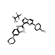 NC1CCN(c2ccn3ncc(C(=O)Nc4ccc(N5CCOCC5)cc4C(F)(F)F)c3n2)CC1.O=C(O)C(F)(F)F